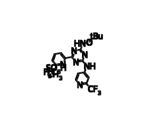 CC(C)(C)ONc1nc(Nc2ccnc(C(F)(F)F)c2)nc(-c2cccc(C(F)(F)F)n2)n1.CS(=O)(=O)O